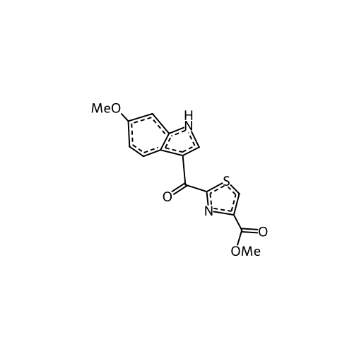 COC(=O)c1csc(C(=O)c2c[nH]c3cc(OC)ccc23)n1